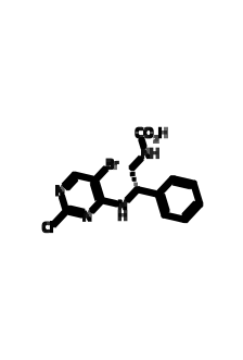 O=C(O)NC[C@@H](Nc1nc(Cl)ncc1Br)c1ccccc1